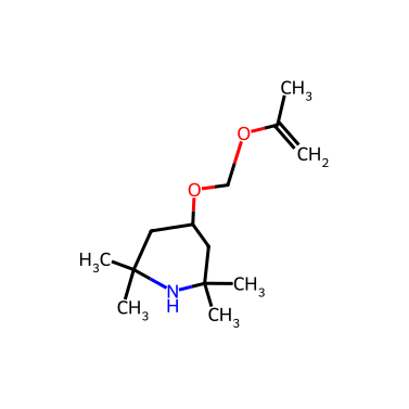 C=C(C)OCOC1CC(C)(C)NC(C)(C)C1